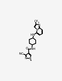 Cn1cc(C(=O)NC2CCC(Nc3cccc4nc(C(F)(F)F)cn34)CC2)c(C#N)n1